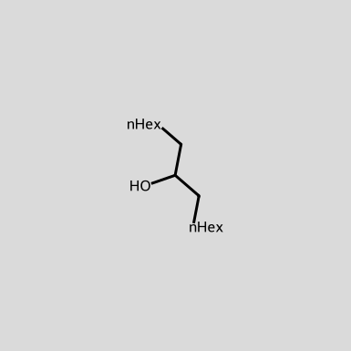 CCCCCCCC(O)CCCCCCC